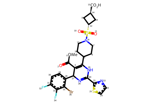 COC(=O)C1=C(C2CCN(S(=O)(=O)[C@H]3C[C@H](C(=O)O)C3)CC2)NC(c2nccs2)=NC1c1ccc(F)c(F)c1Br